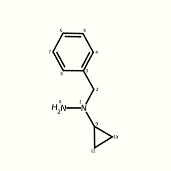 NN(Cc1ccccc1)C1CC1